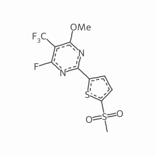 COc1nc(-c2ccc(S(C)(=O)=O)s2)nc(F)c1C(F)(F)F